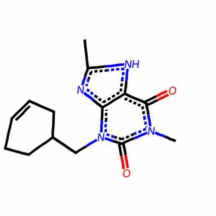 Cc1nc2c([nH]1)c(=O)n(C)c(=O)n2CC1CC=CCC1